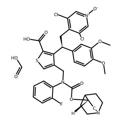 COc1ccc([C@H](Cc2c(Cl)c[n+]([O-])cc2Cl)c2c(CN(C(=O)O[C@H]3CN4CCC3CC4)c3ccccc3F)csc2C(=O)O)cc1OC.O=CO